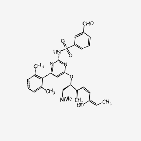 C=C(/C=C\C(=C/C)C(C)(C)C)[C@@H](CNC)Oc1cc(-c2c(C)cccc2C)nc(NS(=O)(=O)c2cccc(C=O)c2)n1